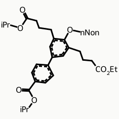 CCCCCCCCCOc1c(CCCC(=O)OCC)cc(-c2ccc(C(=O)OC(C)C)cc2)cc1CCCC(=O)OC(C)C